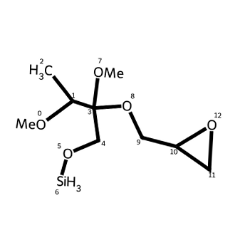 COC(C)C(CO[SiH3])(OC)OCC1CO1